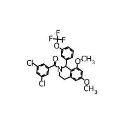 COc1cc2c(c(OC)c1)C(c1cccc(OC(F)(F)F)c1)N(C(=O)c1cc(Cl)cc(Cl)c1)CC2